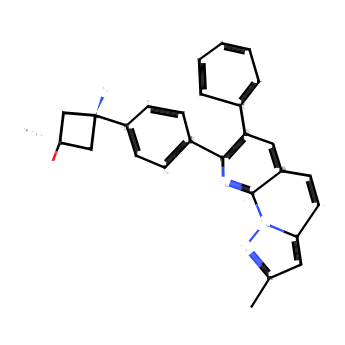 Cc1cc2ccc3cc(-c4ccccc4)c(-c4ccc([C@]5(N)C[C@@](C)(O)C5)cc4)nc3n2n1